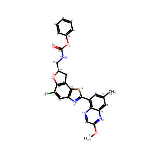 COc1cnc2c(-c3nc4cc(F)c5c(c4s3)C[C@H](CNC(=O)Oc3ccccc3)O5)cc(C)cc2n1